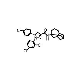 O=C(NC12CCCC3CC(CC3C1)C2)C1=NN(c2ccc(Cl)cc2Cl)[C@@H](c2ccc(Cl)cc2)C1